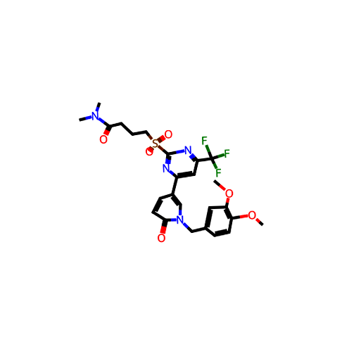 COc1ccc(Cn2cc(-c3cc(C(F)(F)F)nc(S(=O)(=O)CCCC(=O)N(C)C)n3)ccc2=O)cc1OC